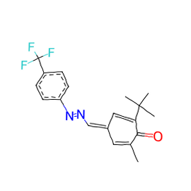 CC1=CC(=CN=Nc2ccc(C(F)(F)F)cc2)C=C(C(C)(C)C)C1=O